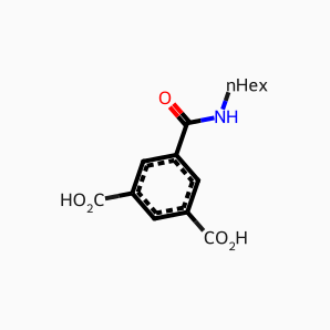 CCCCCCNC(=O)c1cc(C(=O)O)cc(C(=O)O)c1